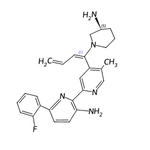 C=C/C=C(\c1cc(-c2nc(-c3ccccc3F)ccc2N)ncc1C)N1CCC[C@H](N)C1